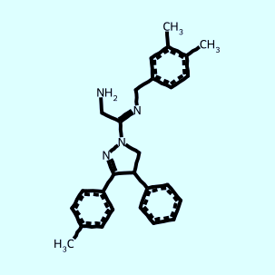 Cc1ccc(C2=NN(/C(CN)=N/Cc3ccc(C)c(C)c3)CC2c2ccccc2)cc1